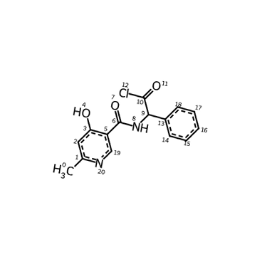 Cc1cc(O)c(C(=O)NC(C(=O)Cl)c2ccccc2)cn1